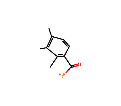 Cc1ccc(C(=O)P)c(C)c1C